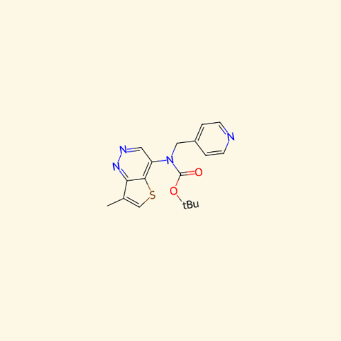 Cc1csc2c(N(Cc3ccncc3)C(=O)OC(C)(C)C)cnnc12